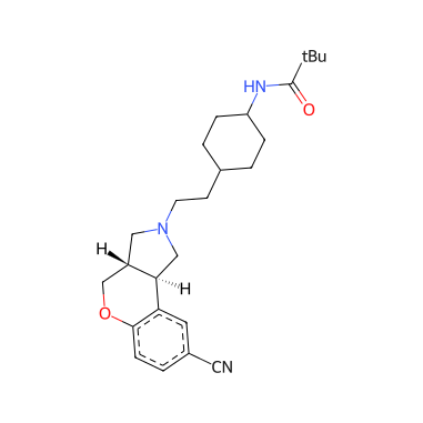 CC(C)(C)C(=O)NC1CCC(CCN2C[C@H]3COc4ccc(C#N)cc4[C@@H]3C2)CC1